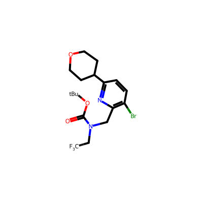 CC(C)(C)OC(=O)N(Cc1nc(C2CCOCC2)ccc1Br)CC(F)(F)F